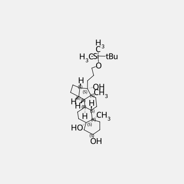 CC(C)(C)[Si](C)(C)OCCC[C@]1(O)[C@H]2CC[C@H]2[C@H]2[C@@H]3CC[C@]4(O)C[C@@H](O)CC[C@]4(C)[C@H]3CC[C@@]21C